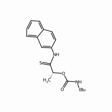 C[C@@H](OC(=O)NC(C)(C)C)C(=S)Nc1ccc2ccccc2c1